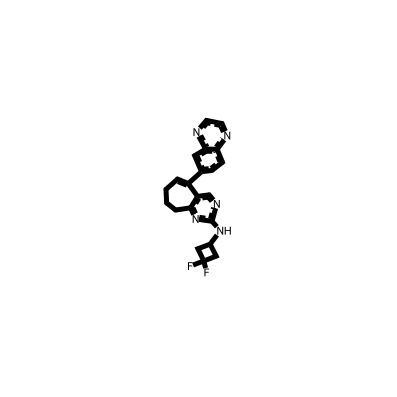 FC1(F)CC(Nc2ncc3c(n2)CCCC=C3c2ccc3nccnc3c2)C1